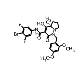 COc1ccc(CN2C(=O)C(C(=O)Nc3cc(F)c(Br)c(F)c3)=C(O)[C@@]3(C)CCCN23)c(OC)c1